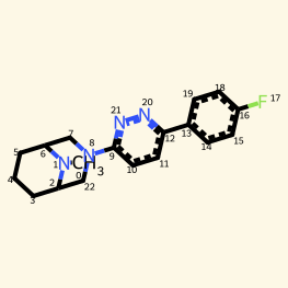 CN1C2CCCC1CN(c1ccc(-c3ccc(F)cc3)nn1)C2